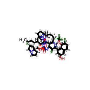 CCCCCc1oc(=O)oc1CN1[C@@H]2CC[C@H]1[C@H]1CCCc3nc(-c4cc(O)cc5ccc(F)c(OC(F)(F)F)c45)c(F)c4nc(OC[C@@]56CCCN5C[C@H](F)C6)nc(c34)N1C2